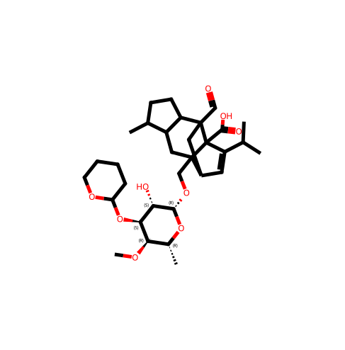 CO[C@H]1[C@@H](OC2CCCCO2)[C@H](O)[C@H](OCC23CC4C(C)CCC4C4(C=O)CC2C=C(C(C)C)C43C(=O)O)O[C@@H]1C